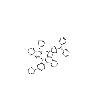 c1ccc(-c2ccc3c4c5ccccc5c5c6cc(N(c7ccccc7)c7ccccc7)ccc6oc5c4n(-c4nc(-c5ccccc5)c5ccccc5n4)c3c2)cc1